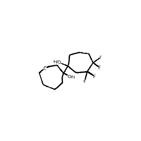 OC1(C2(O)CCCC(F)(F)C(F)(F)C2)CCCCCC1